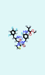 CCOC(=O)[C@H](Nc1ccc(CNC(=O)[C@@H]2SCCN2C(=O)C[C@H](N)Cc2cc(F)c(F)cc2F)cc1F)C(C)C